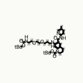 Cc1ccc(NC(=O)c2cc3c(cc2NCCCOCCOCCNC(=O)OC(C)(C)C)N(C(=O)OC(C)(C)C)CCC3)nc1